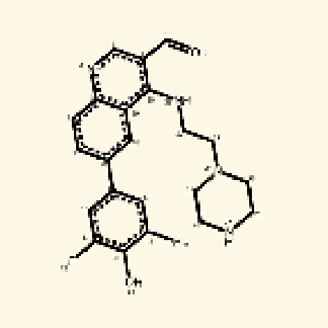 O=Cc1cnc2ccc(-c3cc(F)c(O)c(F)c3)cc2c1NCCN1CCNCC1